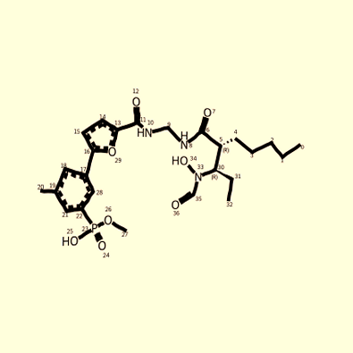 CCCCC[C@@H](C(=O)NCNC(=O)c1ccc(-c2cc(C)cc(P(=O)(O)OC)c2)o1)[C@@H](CC)N(O)C=O